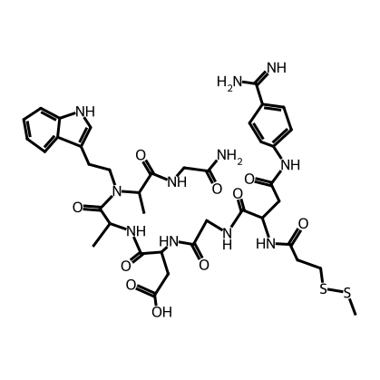 CSSCCC(=O)NC(CC(=O)Nc1ccc(C(=N)N)cc1)C(=O)NCC(=O)NC(CC(=O)O)C(=O)NC(C)C(=O)N(CCc1c[nH]c2ccccc12)C(C)C(=O)NCC(N)=O